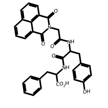 O=C(CN1C(=O)c2cccc3cccc(c23)C1=O)NC(Cc1ccc(O)cc1)C(=O)NC(Cc1ccccc1)C(=O)O